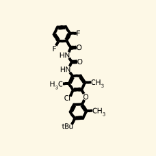 Cc1cc(C(C)(C)C)ccc1Oc1c(C)cc(NC(=O)NC(=O)c2c(F)cccc2F)c(C)c1Cl